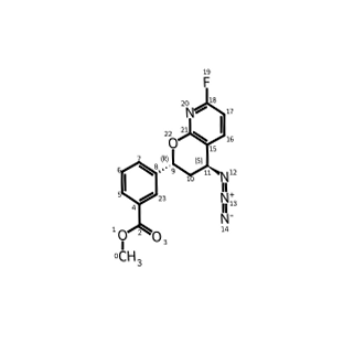 COC(=O)c1cccc([C@H]2C[C@H](N=[N+]=[N-])c3ccc(F)nc3O2)c1